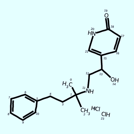 CC(C)(CCc1ccccc1)NCC(O)c1ccc(=O)[nH]c1.Cl.Cl